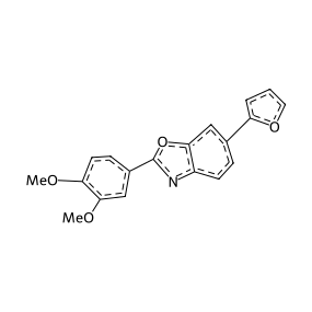 COc1ccc(-c2nc3ccc(-c4ccco4)cc3o2)cc1OC